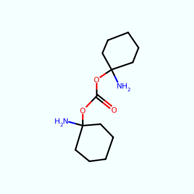 NC1(OC(=O)OC2(N)CCCCC2)CCCCC1